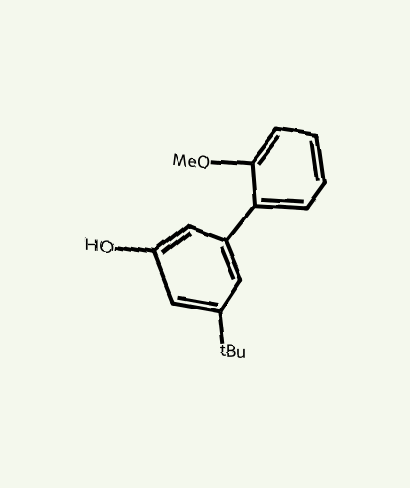 COc1ccccc1-c1cc(O)cc(C(C)(C)C)c1